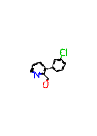 O=Cc1ncccc1-c1cccc(Cl)c1